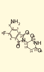 NCc1cc2c(cc1F)C(=O)N(C1CCC(=O)NC1=O)C2=O